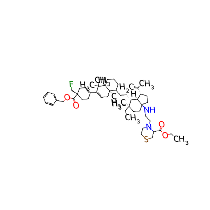 C=C(C)[C@@H]1CC[C@]2(NCCN3CCSCC3C(=O)OCC)CC[C@@](C)(CC)[C@H](CCC3CCC[C@H]4C(C)(C)C(C5=CC[C@@](CF)(C(=O)OCc6ccccc6)CC5)=CC[C@]34C)[C@@H]12